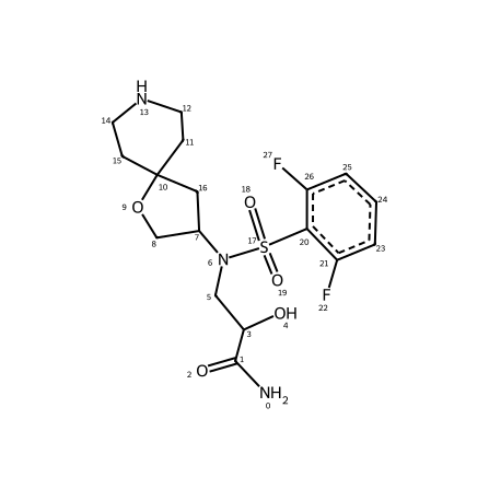 NC(=O)C(O)CN(C1COC2(CCNCC2)C1)S(=O)(=O)c1c(F)cccc1F